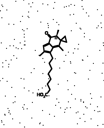 CC1=C(CCCCCCCC(=O)O)C2=C(C)C3(CC3)[C@H](C)C(=O)C2=C1